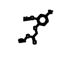 COc1cc(Br)ccc1OCC(=O)OC(C)(C)C